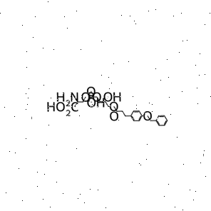 N[C@@H](COP(=O)(O)OC[C@H](O)COC(=O)CCc1ccc(OCc2ccccc2)cc1)C(=O)O